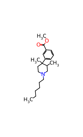 CCCCCCN1CCC(C)(c2cccc(C(=O)OC)c2)C(C)C1